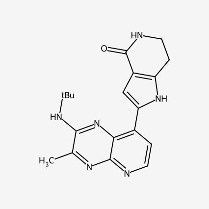 Cc1nc2nccc(-c3cc4c([nH]3)CCNC4=O)c2nc1NC(C)(C)C